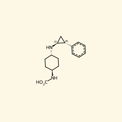 O=C(O)N[C@H]1CC[C@H](N[C@H]2C[C@@H]2c2ccccc2)CC1